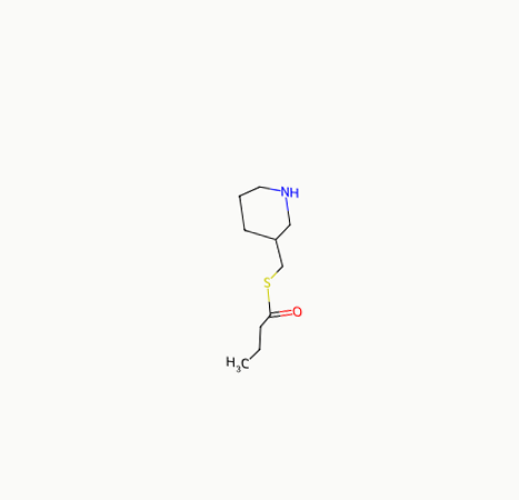 CCCC(=O)SCC1CCCNC1